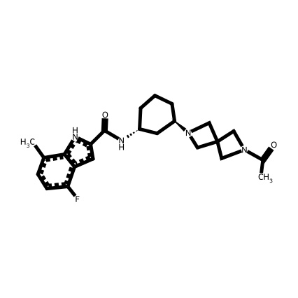 CC(=O)N1CC2(C1)CN([C@@H]1CCC[C@@H](NC(=O)c3cc4c(F)ccc(C)c4[nH]3)C1)C2